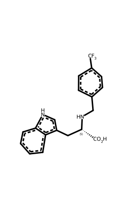 O=C(O)[C@H](Cc1c[nH]c2ccccc12)NCc1ccc(C(F)(F)F)cc1